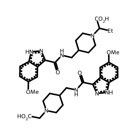 CCC(C(=O)O)N1CCC(CNC(=O)c2n[nH]c3ccc(OC)cc23)CC1.COc1ccc2[nH]nc(C(=O)NCC3CCN(CC(=O)O)CC3)c2c1